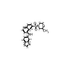 CC1CN(S(=O)(=O)c2ccc3nccc(Nc4ccc5scnc5c4)c3c2)CCO1